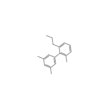 CCCc1cccc(C)c1-c1[c]c(C)cc(C)c1